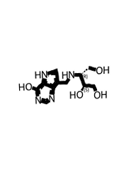 OC[C@@H](O)[C@@H](CO)NCc1c[nH]c2c(O)ncnc12